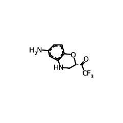 Nc1ccc2c(c1)NC[C@@H](C(=O)C(F)(F)F)O2